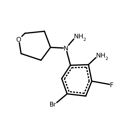 Nc1c(F)cc(Br)cc1N(N)C1CCOCC1